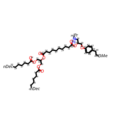 CCCCCCCCCCCCCCCC(=O)OCC(COC(=O)CCCCCCCCCCCCCCC)OC(=O)CCCCCCCCC(=O)OC(CNC(C)C)COc1ccc(CCOC)cc1